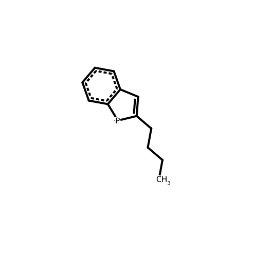 CCCCC1=Cc2ccccc2[P]1